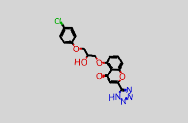 O=c1cc(-c2nnn[nH]2)oc2cccc(OCC(O)COc3ccc(Cl)cc3)c12